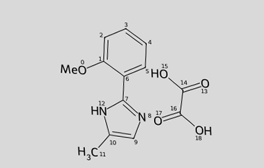 COc1ccccc1-c1ncc(C)[nH]1.O=C(O)C(=O)O